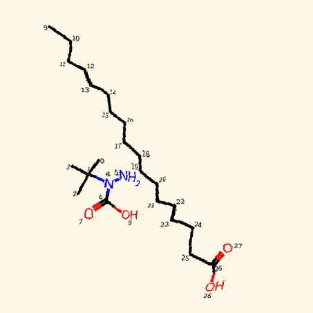 CC(C)(C)N(N)C(=O)O.CCCCCCCCCCCCCCCCCC(=O)O